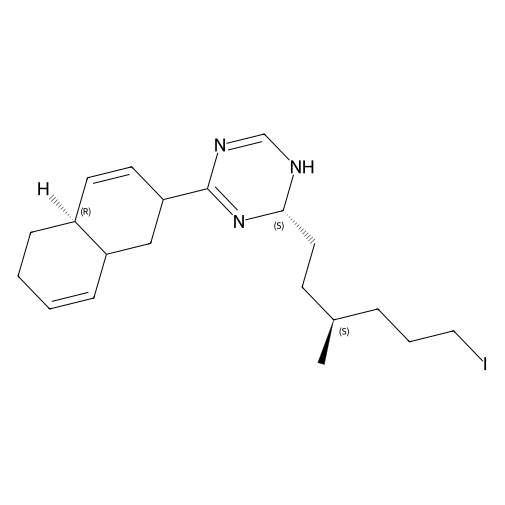 C[C@H](CCCI)CC[C@@H]1N=C(C2C=C[C@@H]3CCC=CC3C2)N=CN1